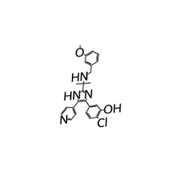 COc1cccc(CNC(C)(C)c2nc(-c3ccc(Cl)c(O)c3)c(-c3ccncc3)[nH]2)c1